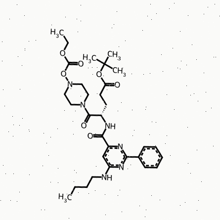 CCCCNc1cc(C(=O)N[C@@H](CCC(=O)OC(C)(C)C)C(=O)N2CCN(OC(=O)OCC)CC2)nc(-c2ccccc2)n1